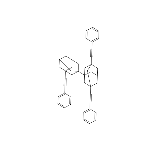 C(#CC12CC3CC(C1)CC(C14CC5CC(C#Cc6ccccc6)(CC(C#Cc6ccccc6)(C5)C1)C4)(C3)C2)c1ccccc1